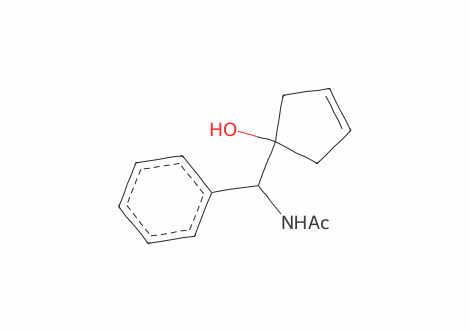 CC(=O)NC(c1ccccc1)C1(O)CC=CC1